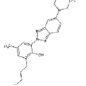 CCCCc1cc(C)cc(-n2nc3ccc(N(CC)CC)cc3n2)c1O